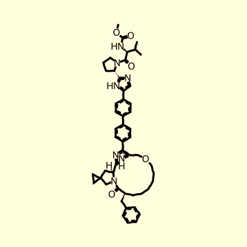 COC(=O)N[C@H](C(=O)N1CCC[C@H]1c1ncc(-c2ccc(-c3ccc(-c4nc5[nH]c4COCCCCCC[C@@H](Cc4ccccc4)C(=O)N4CC6(CC6)C[C@@H]54)cc3)cc2)[nH]1)C(C)C